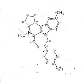 Cc1ccc2c(c1)c1c3n2CC(c2ccc(C)nc2)COC3N(C)C2CCCC12